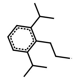 [CH2]CCc1c(C(C)C)cccc1C(C)C